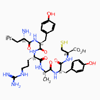 CC(C)C[C@H](N)C(=O)N[C@@H](Cc1ccc(O)cc1)C(=O)N[C@@H](CCCNC(=N)N)C(=O)N[C@@H](C)C(=O)N[C@@H](Cc1ccc(O)cc1)C(=O)N[C@@H](CS)C(=O)O